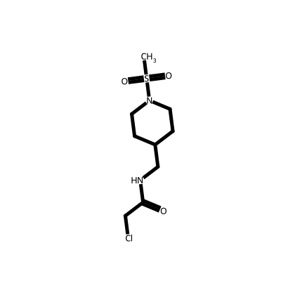 CS(=O)(=O)N1CCC(CNC(=O)CCl)CC1